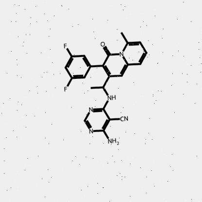 Cc1cccc2cc(C(C)Nc3ncnc(N)c3C#N)c(-c3cc(F)cc(F)c3)c(=O)n12